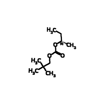 CC[C@H](C)OC(=O)OCC(C)(C)C